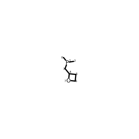 CP(C)CC1CCO1